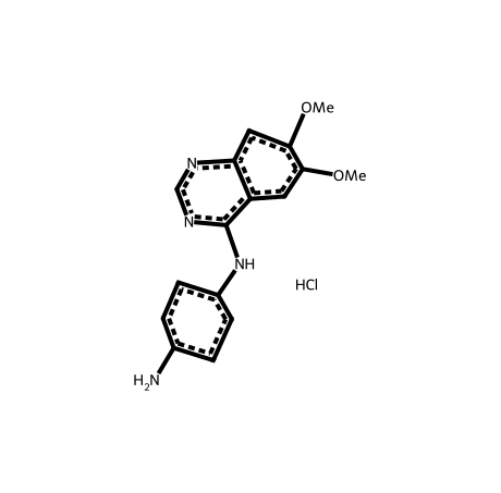 COc1cc2ncnc(Nc3ccc(N)cc3)c2cc1OC.Cl